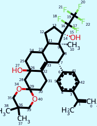 C=C(C)c1ccc([C@H]2C[C@@]3(C)C(CC[C@@]3(O)C(F)(F)C(F)(F)F)C3CCC4(O)CC5(CCC4=C32)OCC(C)(C)CO5)cc1